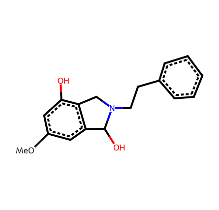 COc1cc(O)c2c(c1)C(O)N(CCc1ccccc1)C2